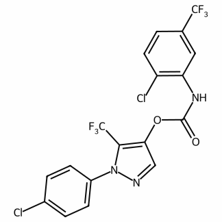 O=C(Nc1cc(C(F)(F)F)ccc1Cl)Oc1cnn(-c2ccc(Cl)cc2)c1C(F)(F)F